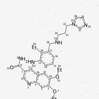 CCOc1cc2ncc(C(N)=O)c(Nc3cccc(CNCCCn4ccnc4)c3CC)c2cc1OCC